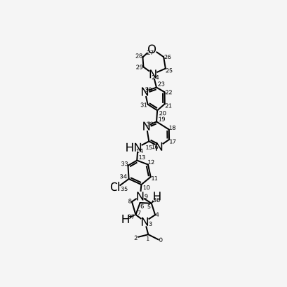 CC(C)N1C[C@@H]2C[C@H]1CN2c1ccc(Nc2nccc(-c3ccc(N4CCOCC4)nc3)n2)cc1Cl